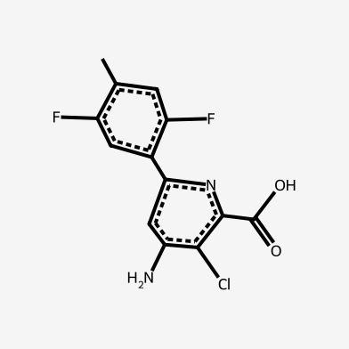 Cc1cc(F)c(-c2cc(N)c(Cl)c(C(=O)O)n2)cc1F